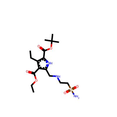 CCOC(=O)c1c(CNCCS(N)(=O)=O)[nH]c(C(=O)OC(C)(C)C)c1CC